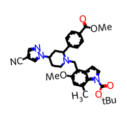 COC(=O)c1ccc(C2CC(n3cc(C#N)cn3)CCN2Cc2c(OC)cc(C)c3c2ccn3C(=O)OC(C)(C)C)cc1